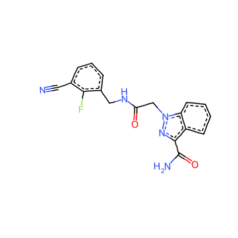 N#Cc1cccc(CNC(=O)Cn2nc(C(N)=O)c3ccccc32)c1F